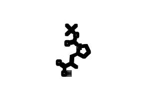 C/C(=C\[C@@H]1CCCN1C(=O)OC(C)(C)C)C(=O)O